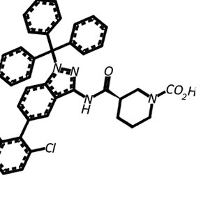 O=C(Nc1nn(C(c2ccccc2)(c2ccccc2)c2ccccc2)c2ccc(-c3c(Cl)cccc3Cl)cc12)[C@@H]1CCCN(C(=O)O)C1